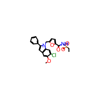 CCS(=O)(=O)NC(=O)c1ccc(Cn2c(-c3ccccc3)cc3cc(OC)c(Cl)cc32)o1